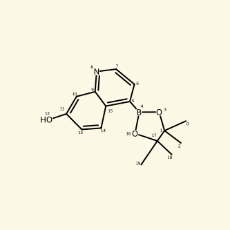 CC1(C)OB(c2ccnc3cc(O)ccc23)OC1(C)C